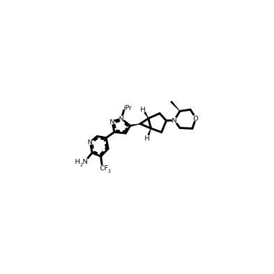 CC(C)n1nc(-c2cnc(N)c(C(F)(F)F)c2)cc1[C@H]1[C@@H]2CC(N3CCOC[C@@H]3C)C[C@@H]21